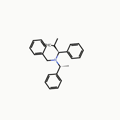 CC(C=O)[C@@H](c1ccccc1)N(Cc1ccccc1)[C@H](C)c1ccccc1